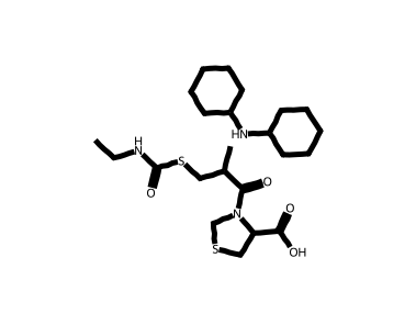 C1CCC(NC2CCCCC2)CC1.CCNC(=O)SCC(C)C(=O)N1CSCC1C(=O)O